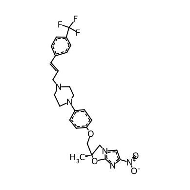 C[C@@]1(COc2ccc(N3CCN(C/C=C/c4ccc(C(F)(F)F)cc4)CC3)cc2)Cn2cc([N+](=O)[O-])nc2O1